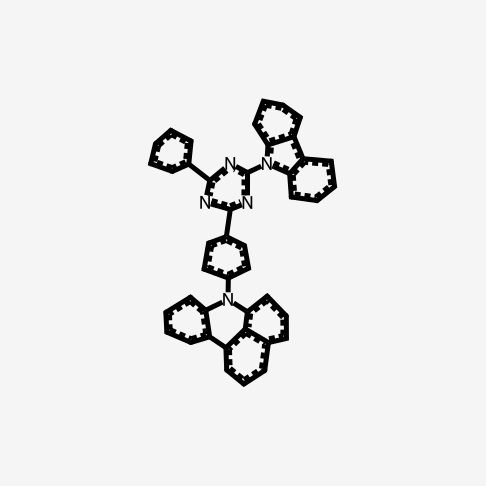 c1ccc(-c2nc(-c3ccc(N4c5ccccc5-c5cccc6cccc4c56)cc3)nc(-n3c4ccccc4c4ccccc43)n2)cc1